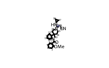 COc1ccccc1C(=O)NCC1(c2ccccc2)CCN(/C(=N\C#N)NC2CC2)CC1